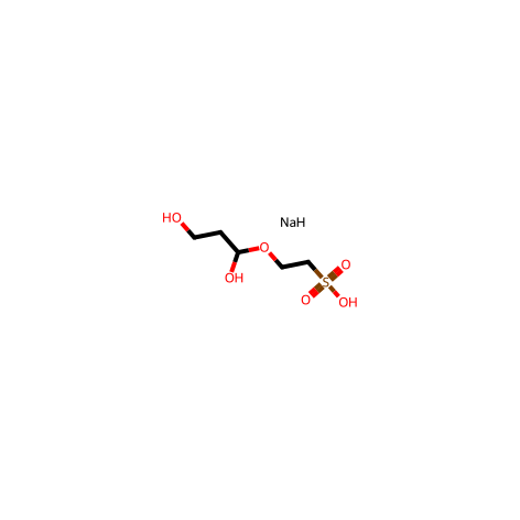 O=S(=O)(O)CCOC(O)CCO.[NaH]